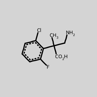 CC(CN)(C(=O)O)c1c(F)cccc1Cl